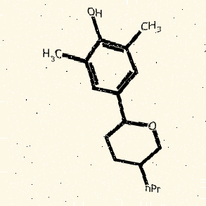 CCCC1CCC(c2cc(C)c(O)c(C)c2)OC1